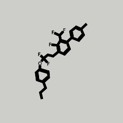 CCCc1ccc(OC(F)(F)CCc2ccc(-c3ccc(C)cc3)c(C(F)F)c2F)cc1